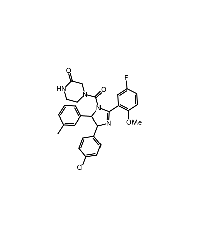 COc1ccc(F)cc1C1=NC(c2ccc(Cl)cc2)C(c2cccc(C)c2)N1C(=O)N1CCNC(=O)C1